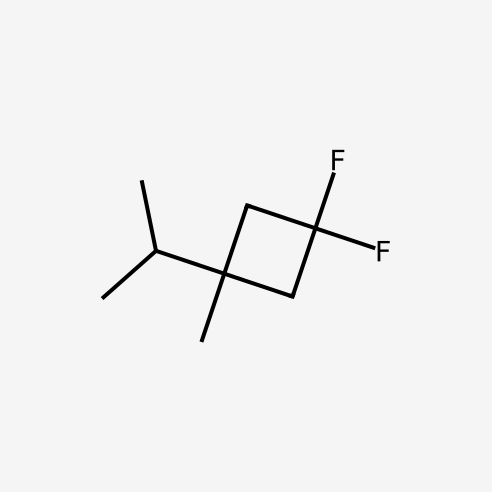 CC(C)C1(C)CC(F)(F)C1